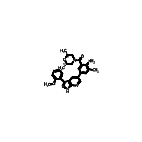 COc1ccccc1-c1n[nH]c2ncc(-c3cc(C)c(N)c(C(=O)N4C[C@@H](C)O[C@@H](C)C4)c3)cc12